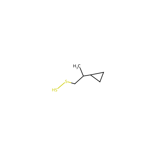 CC(CSS)C1CC1